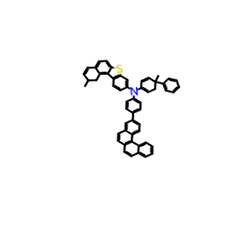 CC1C=Cc2ccc3sc4cc(N(C5=CCC(C)(c6ccccc6)C=C5)c5ccc(-c6ccc7c(ccc8ccc9ccccc9c87)c6)cc5)ccc4c3c2C1